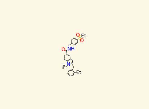 CCc1ccccc1Cc1cc2cc(C(=O)NCc3ccc(S(=O)(=O)CC)cc3)ccc2n1C(C)C